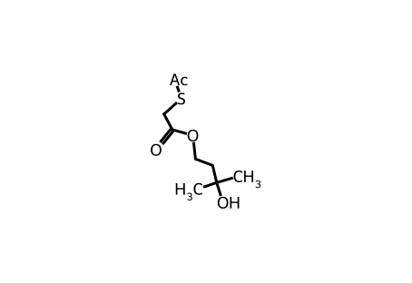 CC(=O)SCC(=O)OCCC(C)(C)O